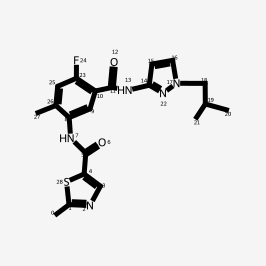 Cc1ncc(C(=O)Nc2cc(C(=O)Nc3ccn(CC(C)C)n3)c(F)cc2C)s1